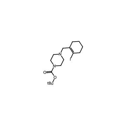 CC(C)(C)OC(=O)N1CCN(CC2=C(I)CCCC2)CC1